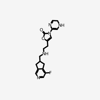 O=c1oc(CCNCC2Cc3cncc(F)c3C2)cn1C1=CNCC=N1